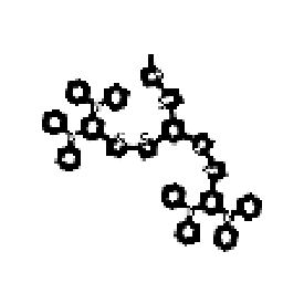 Cc1ccc(-c2ccc(-c3cc(-c4ccc(-c5ccc(-c6cc(N(c7ccccc7)c7ccccc7)cc(N(c7ccccc7)c7ccccc7)c6)s5)s4)cc(-c4ccc(-c5ccc(-c6cc(N(c7ccccc7)c7ccccc7)cc(N(c7ccccc7)c7ccccc7)c6)s5)s4)c3)s2)s1